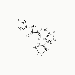 NC(N)=NC(=O)c1ccc2c(c1)C(c1cnccn1)=CCC2